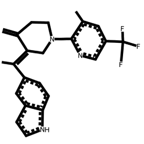 C=C1CCN(c2ncc(C(F)(F)F)cc2C)C/C1=C(/C)c1ccc2[nH]ccc2c1